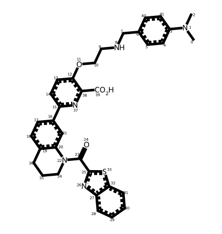 CN(C)c1ccc(CNCCOc2ccc(-c3ccc4c(c3)N(C(=O)c3nc5ccccc5s3)CCC4)nc2C(=O)O)cc1